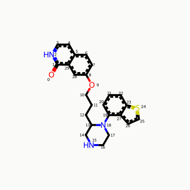 O=c1[nH]ccc2ccc(OCCCC3CNCCN3c3cccc4sccc34)cc12